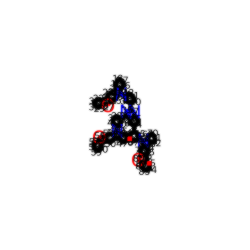 c1cc(-c2ccc3nc(-c4cccc(-n5c6ccccc6c6cc7c(cc65)oc5ccccc57)c4)nc(-c4cccc(-n5c6ccccc6c6cc7c(cc65)oc5ccccc57)c4)c3c2)cc(-n2c3ccccc3c3cc4c(cc32)oc2ccccc24)c1